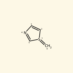 C=S1C=CN=C1